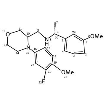 COc1cccc([C@@H](C)NCC2COCCN2c2ccc(OC)c(F)c2)c1